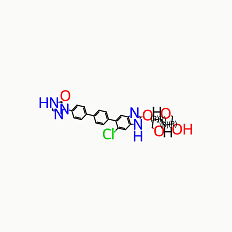 O=c1[nH]cnn1-c1ccc(-c2ccc(-c3cc4nc(O[C@@H]5CO[C@H]6[C@@H]5OC[C@H]6O)[nH]c4cc3Cl)cc2)cc1